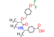 CC(NC(=O)C(OCc1ccc(OC(F)F)cc1)C(C)C)c1ccc(C(=O)O)cc1